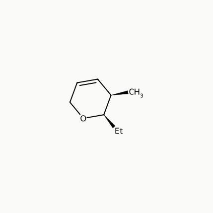 CC[C@H]1OCC=C[C@H]1C